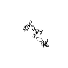 C[C@@H]1CN(C(=O)c2ccc(NC(=O)[C@H]3CC[C@H](NS(=O)(=O)C(C)(C)C)CC3)cc2)C[C@H](C)O1